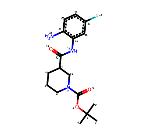 CC(C)(C)OC(=O)N1CCCC(C(=O)Nc2cc(F)ccc2N)C1